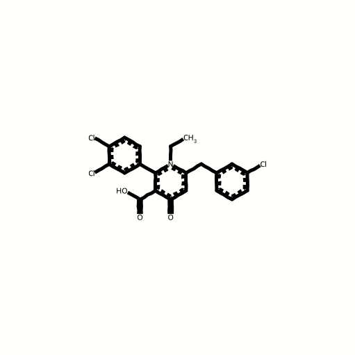 CCn1c(Cc2cccc(Cl)c2)cc(=O)c(C(=O)O)c1-c1ccc(Cl)c(Cl)c1